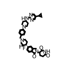 O=C1CCC(N2Cc3cc([C@H]4CCN(Cc5ccc(N6CCC(Nc7ncc(C8CC8)cn7)CC6)cc5)CC4(F)F)ccc3C2=O)C(=O)N1